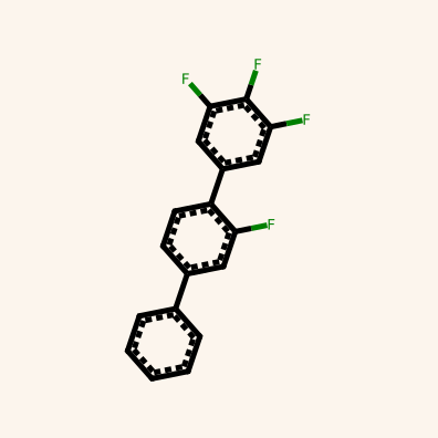 Fc1cc(-c2ccccc2)ccc1-c1cc(F)c(F)c(F)c1